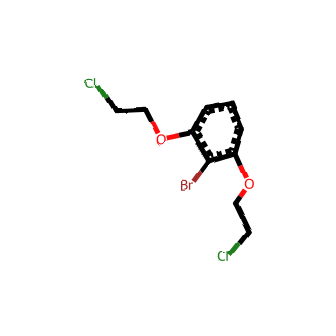 ClCCOc1cccc(OCCCl)c1Br